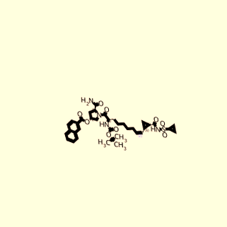 CC(C)(C)OC(=O)N[C@@H](CCCCC/C=C\[C@@H]1C[C@@H]1C(=O)NS(=O)(=O)C1CC1)C(=O)N1C[C@H](OC(=O)c2ccc3ccccc3c2)C[C@H]1C(N)=O